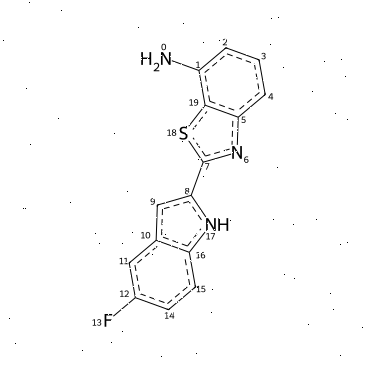 Nc1cccc2nc(-c3cc4cc(F)ccc4[nH]3)sc12